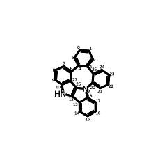 c1ccc2c(c1)c1cccc3[nH]c4c5ccccc5n(c5ccccc25)c4c31